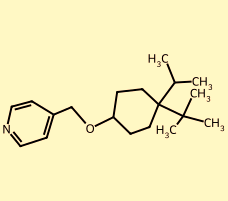 CC(C)C1(C(C)(C)C)CCC(OCc2ccncc2)CC1